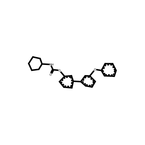 O=C(NC1CCCCC1)Oc1cccc(-c2cccc(Oc3ccccc3)c2)c1